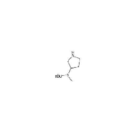 CCCCN(C)C1CCNC1